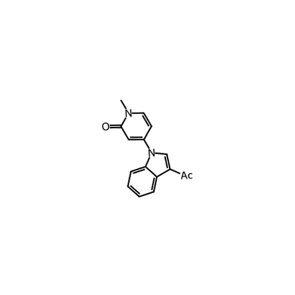 CC(=O)c1cn(-c2ccn(C)c(=O)c2)c2ccccc12